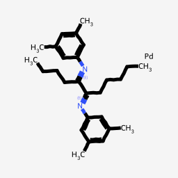 CCCCCC(=N\c1cc(C)cc(C)c1)/C(CCCC)=N/c1cc(C)cc(C)c1.[Pd]